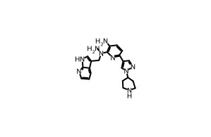 Nc1ccc(-c2cnn(C3CCNCC3)c2)nc1N(N)Cc1c[nH]c2ncccc12